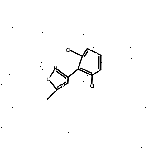 Cc1cc(-c2c(Cl)cccc2Cl)no1